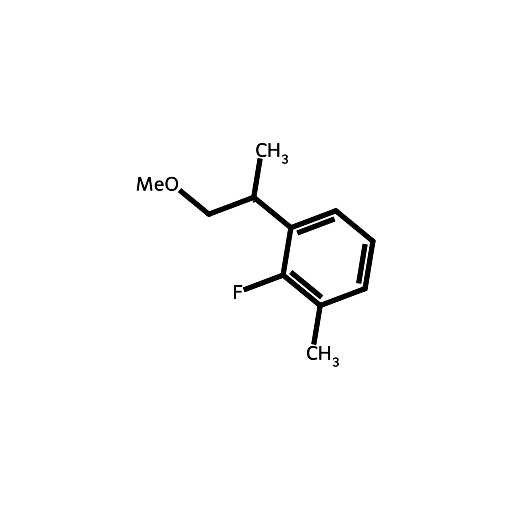 COC[C](C)c1cccc(C)c1F